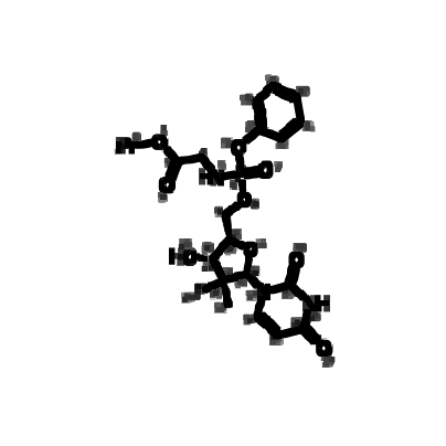 CC(C)OC(=O)CNP(=O)(OC[C@H]1O[C@@H](n2ccc(=O)[nH]c2=O)[C@](C)(F)[C@@H]1O)Oc1ccccc1